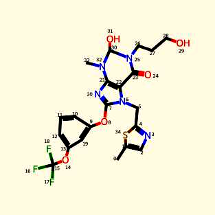 Cc1cnc(Cn2c(Oc3cccc(OC(F)(F)F)c3)nc3c2C(=O)N(CCCO)C(O)N3C)s1